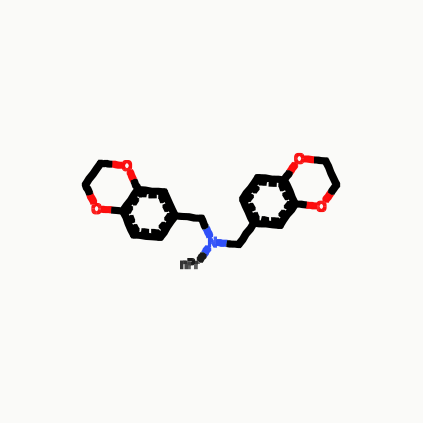 CCCN(Cc1ccc2c(c1)OCCO2)Cc1ccc2c(c1)OCCO2